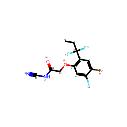 CCC(F)(F)c1cc(Br)c(F)cc1OCC(=O)NC#N